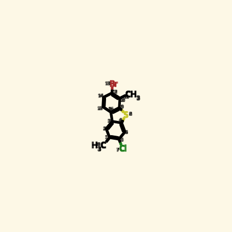 Cc1cc2c(cc1Cl)sc1c(C)c(Br)ccc12